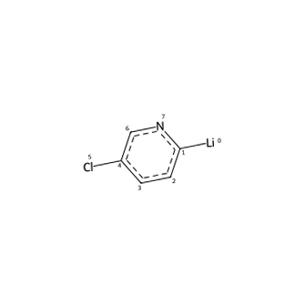 [Li][c]1ccc(Cl)cn1